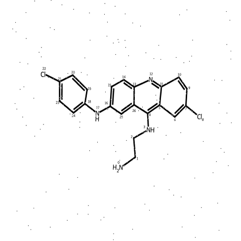 NCCNc1c2cc(Cl)ccc2nc2ccc(Nc3ccc(Cl)cc3)cc12